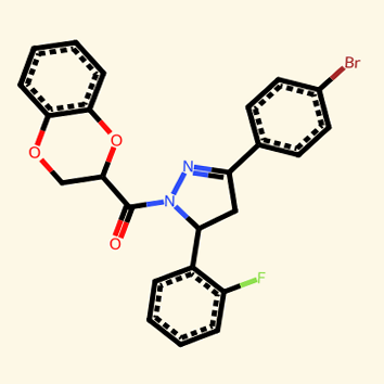 O=C(C1COc2ccccc2O1)N1N=C(c2ccc(Br)cc2)CC1c1ccccc1F